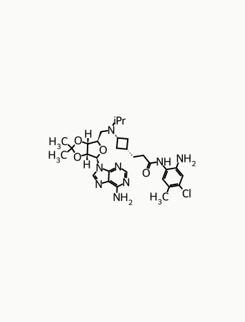 Cc1cc(NC(=O)CC[C@H]2C[C@@H](N(C[C@H]3O[C@@H](n4cnc5c(N)ncnc54)[C@@H]4OC(C)(C)O[C@@H]43)C(C)C)C2)c(N)cc1Cl